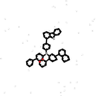 c1ccc(-c2ccc(N(c3ccc(-c4cccc5c4sc4ccccc45)cc3)c3cc(-c4cccc5ccccc45)ccc3-c3ccccc3)cc2)cc1